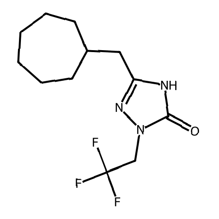 O=c1[nH]c(CC2CCCCCC2)nn1CC(F)(F)F